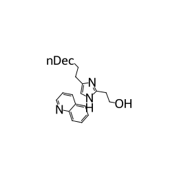 CCCCCCCCCCCCc1c[nH]c(CCO)n1.c1ccc2ncccc2c1